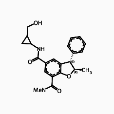 CNC(=O)c1cc(C(=O)NC2CC2CO)cc2c1O[C@H](C)[C@H]2c1ccccc1